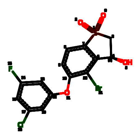 O=S1(=O)C[C@@H](O)c2c1ccc(Oc1cc(F)cc(Cl)c1)c2Br